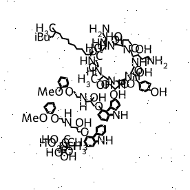 CC(=O)O.CC(=O)O.CCC(C)CC(C)CCCCCCCCC(=O)N[C@H]1C[C@@H](O)[C@H](NCCN)NC(=O)[C@@H]2[C@@H](O)CCN2C(=O)[C@H]([C@@H](O)CCN)NC(=O)[C@H]([C@H](O)[C@@H](O)c2ccc(O)cc2)NC(=O)[C@@H]2C[C@@H](O)CN2C(=O)[C@H]([C@@H](C)O)NC1=O.COc1ccccc1OCCNCC(O)COc1cccc2[nH]c3ccccc3c12.COc1ccccc1OCCNCC(O)COc1cccc2[nH]c3ccccc3c12.O=P(O)(O)O